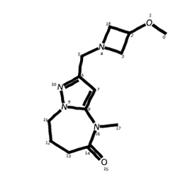 COC1CN(Cc2cc3n(n2)CCCC(=O)N3C)C1